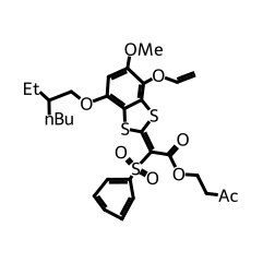 C=COc1c(OC)cc(OCC(CC)CCCC)c2c1S/C(=C(\C(=O)OCCC(C)=O)S(=O)(=O)c1ccccc1)S2